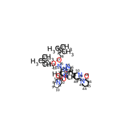 CC(C)(C)OC(=O)N1C2CCC1CC(c1cc(N(COCC[Si](C)(C)C)COCC[Si](C)(C)C)n3ncc(-c4ccc(-n5ccccc5=O)nc4)c3n1)C2